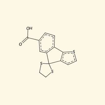 O=C(O)c1ccc2c(c1)C1(SCCS1)c1ccsc1-2